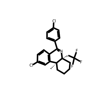 C[C@@]12CCCC[C@]1(CC(F)(F)F)N=C(c1ccc(Cl)cc1)c1ccc(Cl)cc12